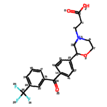 O=C(O)CCN1CCOC(c2ccc(C(=O)c3cccc(C(F)(F)F)c3)cc2)C1